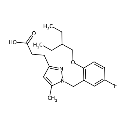 CCC(CC)COc1ccc(F)cc1Cn1nc(CCC(=O)O)cc1C